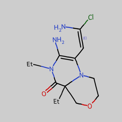 CCN1C(=O)C2(CC)COCCN2C(/C=C(\N)Cl)=C1N